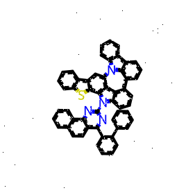 c1ccc(-c2ccccc2-c2nc(-n3c4cccc5c6cccc7c8ccccc8n(c8cc9c%10ccccc%10sc9c3c8c54)c67)nc3c2ccc2ccccc23)cc1